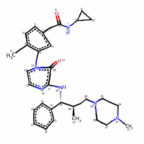 Cc1ccc(C(=O)NC2CC2)cc1-n1ccnc(N[C@@H](c2ccccc2)[C@H](C)CN2CCN(C)CC2)c1=O